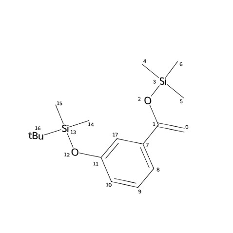 C=C(O[Si](C)(C)C)c1cccc(O[Si](C)(C)C(C)(C)C)c1